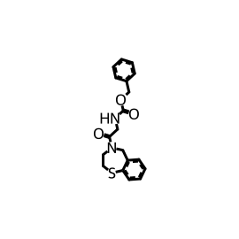 O=C(NCC(=O)N1CCSc2ccccc2C1)OCc1ccccc1